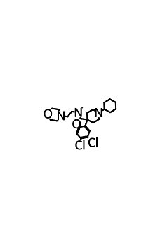 CN(CCN1CCOCC1)C(=O)C1(c2ccc(Cl)c(Cl)c2)CCN(C2CCCCC2)CC1